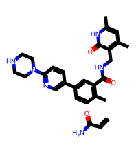 C=CC(N)=O.Cc1cc(C)c(CNC(=O)c2cc(-c3ccc(N4CCNCC4)nc3)ccc2C)c(=O)[nH]1